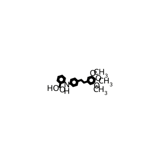 COc1cc(CCc2ccc(Nc3ccccc3C(=O)O)cc2)cc(OC)c1OC